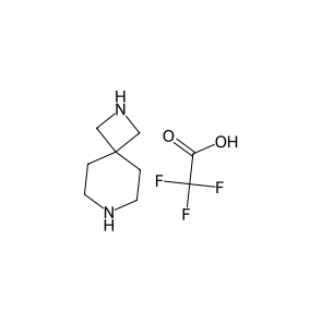 C1CC2(CCN1)CNC2.O=C(O)C(F)(F)F